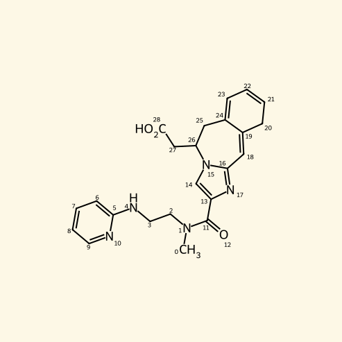 CN(CCNc1ccccn1)C(=O)c1cn2c(n1)C=C1CC=CC=C1CC2CC(=O)O